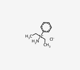 CC[N+](N)(CC)c1ccccc1.[Cl-]